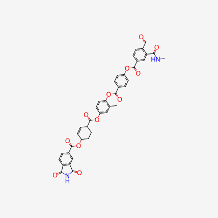 CNC(=O)c1cc(C(=O)Oc2ccc(C(=O)Oc3ccc(OC(=O)C4C=CC(OC(=O)c5ccc6c(c5)C(=O)NC6=O)CC4)cc3C)cc2)ccc1C=O